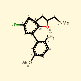 CNCC1Cc2cc(F)cc(-c3cc(OC)ccc3C)c2O1